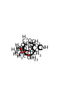 CC[C@H]1OC(=O)[C@H](C)[C@H]2OC3(CCNCC3)O[C@@](C)(C[C@@H](C)CN(C)[C@H](C)[C@@H](O)[C@]1(C)O)[C@H](O[C@@H]1O[C@H](C)C[C@H](N(C)CC)[C@H]1O)[C@H]2C